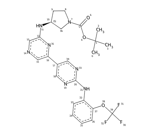 CC(C)(C)OC(=O)N1CC[C@H](Nc2cncc(-c3cnc(Nc4ccccc4OC(F)(F)F)nc3)n2)C1